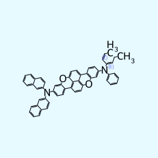 C/C=C\C(=C/CC)N(c1ccccc1)c1ccc2c(c1)Oc1ccc3c4c(ccc-2c14)Oc1cc(N(c2ccc4ccccc4c2)c2ccc4ccccc4c2)ccc1-3